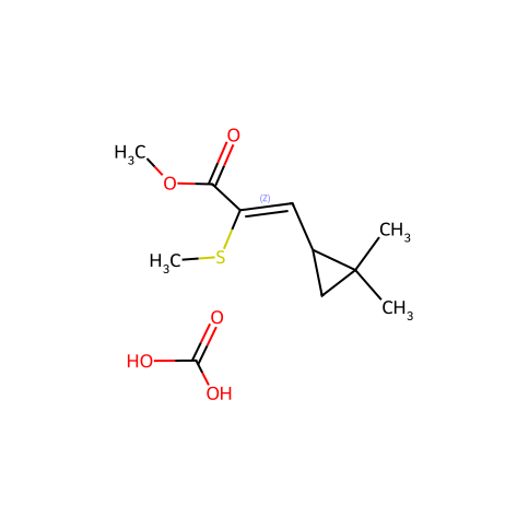 COC(=O)/C(=C/C1CC1(C)C)SC.O=C(O)O